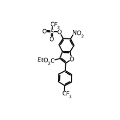 CCOC(=O)c1c(-c2ccc(C(F)(F)F)cc2)oc2cc([N+](=O)[O-])c(OS(=O)(=O)C(F)(F)F)cc12